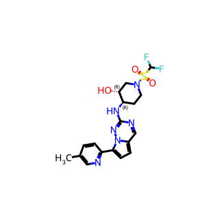 Cc1ccc(-c2ccc3cnc(N[C@@H]4CCN(S(=O)(=O)C(F)F)C[C@H]4O)nn23)nc1